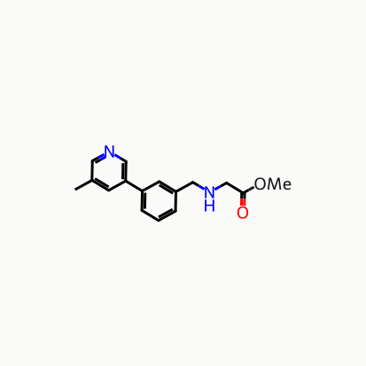 COC(=O)CNCc1cccc(-c2cncc(C)c2)c1